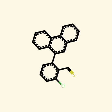 S=Cc1c(Cl)cccc1-c1cc2ccccc2c2ccccc12